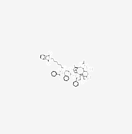 CC(=O)O[C@H]1C(=O)[C@@]2(C)[C@H]([C@H](OC(=O)c3ccccc3)[C@]3(O)C[C@H](OC(=O)[C@H](OC(=O)CCCCCN4C(=O)C5C6C=CC(C6)C5C4=O)[C@@H](NC(=O)c4ccccc4)c4ccccc4)C(C)=C1C3(C)C)[C@]1(OC(C)=O)CO[C@@H]1C[C@@H]2O